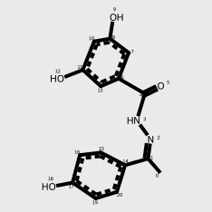 C/C(=N/NC(=O)c1cc(O)cc(O)c1)c1ccc(O)cc1